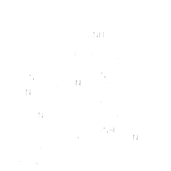 CCN(CC)C(C)CNC(=O)c1cc(-c2cnn3ccc(-c4cccs4)nc23)nc(N2CC[C@H]2C(=O)NC2CC2)c1